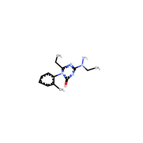 CCc1nc(N(N)CC)nc(=O)n1-c1ccccc1C